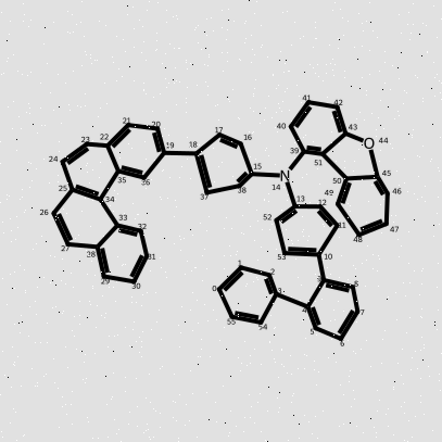 c1ccc(-c2ccccc2-c2ccc(N(c3ccc(-c4ccc5ccc6ccc7ccccc7c6c5c4)cc3)c3cccc4oc5ccccc5c34)cc2)cc1